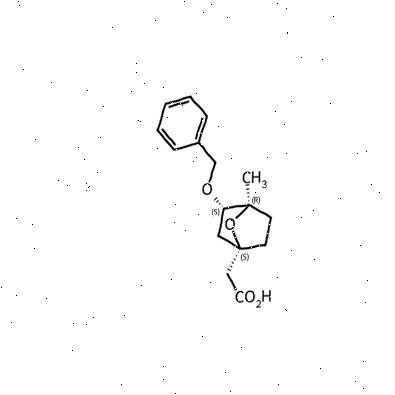 C[C@@]12CC[C@@](CC(=O)O)(C[C@@H]1OCc1ccccc1)O2